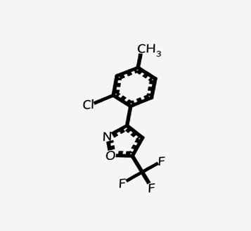 Cc1ccc(-c2cc(C(F)(F)F)on2)c(Cl)c1